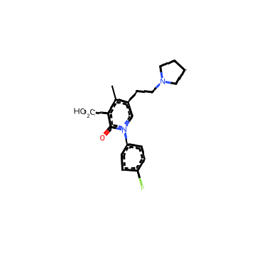 Cc1c(CCN2CCCC2)cn(-c2ccc(F)cc2)c(=O)c1C(=O)O